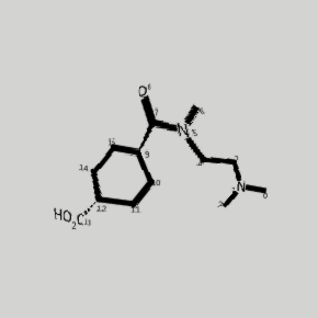 CN(C)CCN(C)C(=O)[C@H]1CC[C@H](C(=O)O)CC1